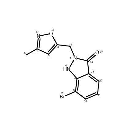 Cc1cc(Cn2[nH]c3c(Br)cccc3c2=O)on1